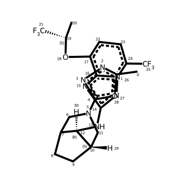 Cc1nnc(N2CC3CC[C@@H](C2)[C@@H]3Nc2nc3c(O[C@@H](C)C(F)(F)F)ccc(C(F)(F)F)n3n2)o1